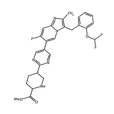 COC(=O)C1CCC(c2ncc(-c3cn4c(Cc5ccccc5OC(F)F)c(C)nc4cc3F)cn2)CN1